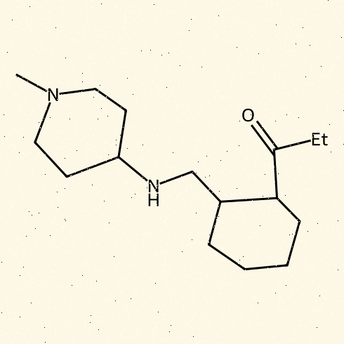 CCC(=O)C1CCCCC1CNC1CCN(C)CC1